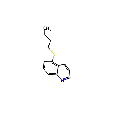 CCCCSc1cccc2ncccc12